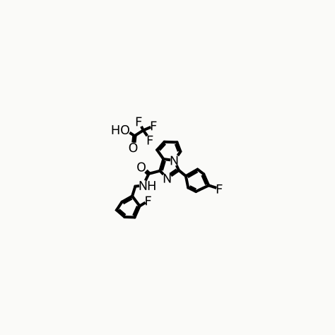 O=C(NCc1ccccc1F)c1nc(-c2ccc(F)cc2)n2ccccc12.O=C(O)C(F)(F)F